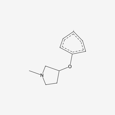 CN1CCC(Oc2cc[c]cc2)C1